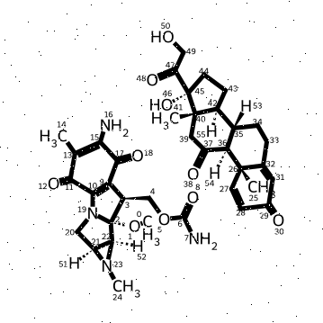 CO[C@@]12[C@H](COC(N)=O)C3=C(C(=O)C(C)=C(N)C3=O)N1C[C@H]1[C@@H]2N1C.C[C@]12C=CC(=O)C=C1CC[C@@H]1[C@@H]2C(=O)C[C@@]2(C)[C@H]1CC[C@]2(O)C(=O)CO